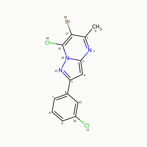 Cc1nc2cc(-c3cccc(Cl)c3)nn2c(Cl)c1Br